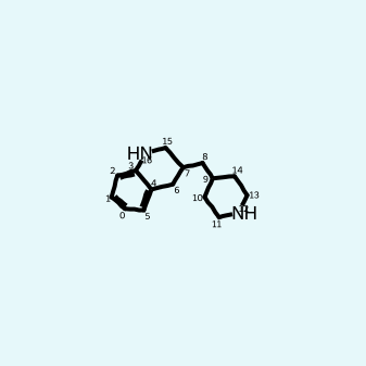 c1ccc2c(c1)CC(CC1CCNCC1)CN2